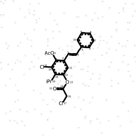 CC(=O)Oc1c(C=Cc2ccccc2)cc(OC(=O)CCl)c(C(C)C)c1Cl